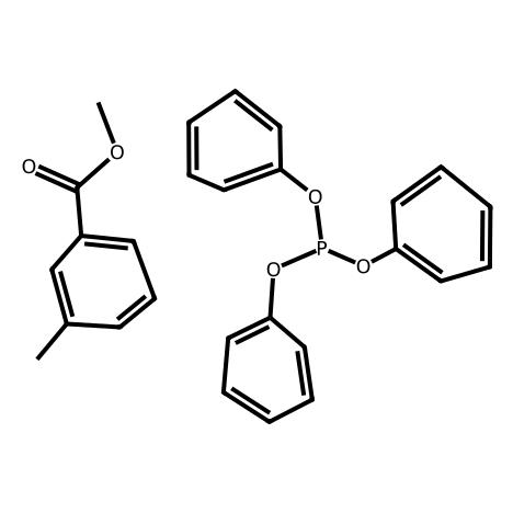 COC(=O)c1cccc(C)c1.c1ccc(OP(Oc2ccccc2)Oc2ccccc2)cc1